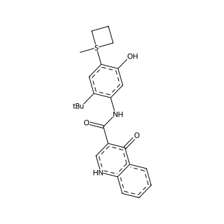 CC(C)(C)c1cc(S2(C)CCC2)c(O)cc1NC(=O)c1c[nH]c2ccccc2c1=O